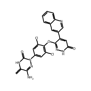 C=C1NC(=O)N(c2cc(Cl)c(Oc3n[nH]c(=O)cc3-c3cnc4ccccc4c3)c(Cl)c2)N=C1N